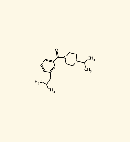 CC(C)Cc1cccc(C(=O)N2CCN(C(C)C)CC2)c1